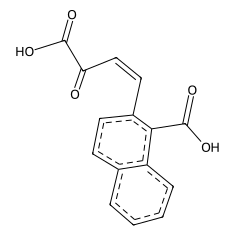 O=C(O)C(=O)/C=C\c1ccc2ccccc2c1C(=O)O